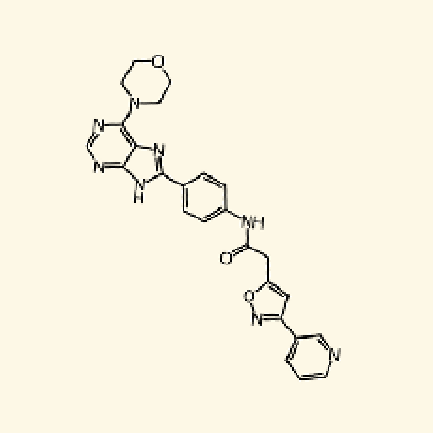 O=C(Cc1cc(-c2cccnc2)no1)Nc1ccc(-c2nc3c(N4CCOCC4)ncnc3[nH]2)cc1